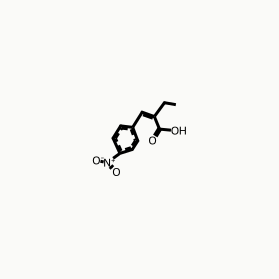 CCC(=Cc1ccc([N+](=O)[O-])cc1)C(=O)O